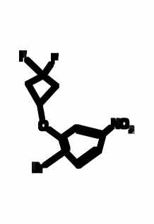 O=[N+]([O-])c1ccc(Br)c(OC2CC(F)(F)C2)c1